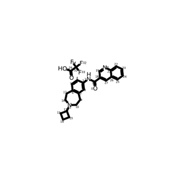 O=C(Nc1ccc2c(c1)CCN(C1CCC1)CC2)c1cnc2ccccc2c1.O=C(O)C(F)(F)F